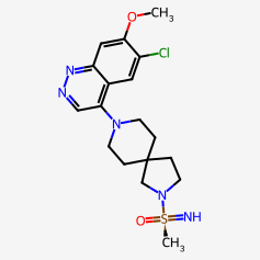 COc1cc2nncc(N3CCC4(CC3)CCN([S@](C)(=N)=O)C4)c2cc1Cl